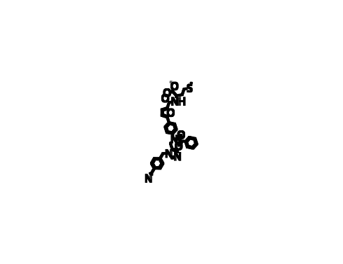 COC(=O)C(CCSC)NC(=O)c1ccc(-c2ccc(N(Cc3cncn3Cc3ccc(C#N)cc3)S(=O)(=O)c3ccccc3)cc2)o1